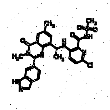 Cc1cc([C@@H](C)Nc2ccc(Cl)nc2C(=O)NS(C)(=O)=O)c2nc(-c3ccc4cn[nH]c4c3)n(C)c(=O)c2c1